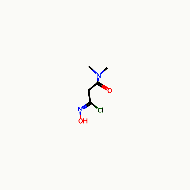 CN(C)C(=O)CC(Cl)=NO